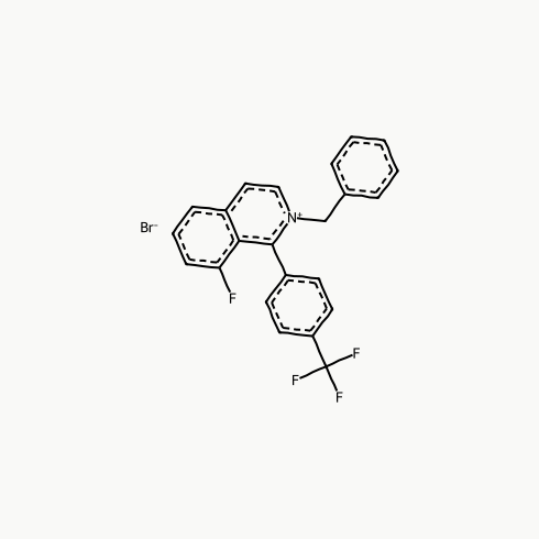 Fc1cccc2cc[n+](Cc3ccccc3)c(-c3ccc(C(F)(F)F)cc3)c12.[Br-]